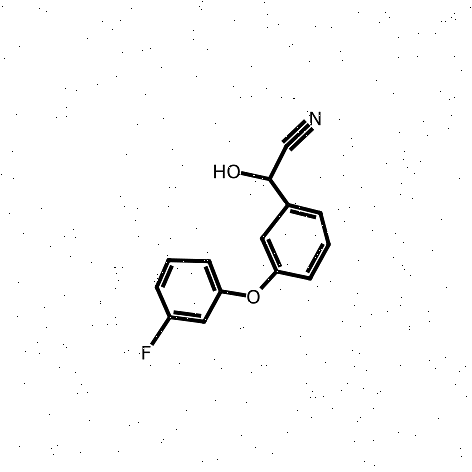 N#CC(O)c1cccc(Oc2cccc(F)c2)c1